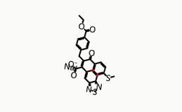 CCOC(=O)c1ccc(C/C(C(=O)c2ccc(SC)cc2)=C(\C(=O)[O-])c2ccc3nsnc3c2)cc1.[Na+]